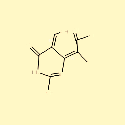 C=C(C)/C(I)=c1/nc(C)[nH]c(=O)/c1=C/C